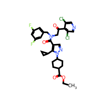 CCOC(=O)C1CCC(n2ncc(C(=O)N(CC(=O)c3c(Cl)cncc3Cl)Cc3cc(F)cc(F)c3)c2C2CC2)CC1